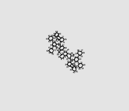 Cc1c2c3c(cccc3c3cc(N(c4cc(-c5ccccc5)cc(-c5ccccc5)c4F)c4cccc5c4oc4ccccc45)ccc13)C(C)(C)c1cc(N(c3cc(-c4ccccc4)cc(-c4ccccc4)c3F)c3cccc4c3oc3ccccc34)ccc1-2